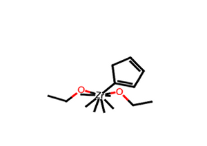 CC[O][Zr]([CH3])([CH3])([CH3])([CH3])([CH3])([CH3])([O]CC)[C]1=CC=CC1